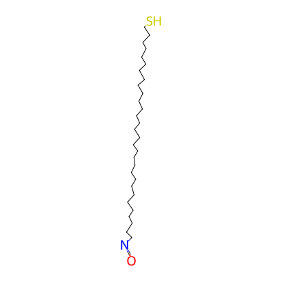 O=C=NCCCCCCCCCCCCCCCCCCCCCCCCCCCCCCS